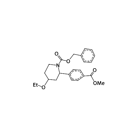 CCOC1CCN(C(=O)OCc2ccccc2)C(c2ccc(C(=O)OC)cc2)C1